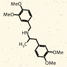 COc1ccc(CNC(C)Cc2ccc(OC)c(OC)c2)cc1OC